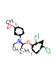 CCN(c1cccc(OC)c1)C(C)Oc1ccc(Cl)cc1Cl